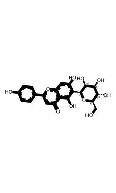 O=c1cc(-c2ccc(O)cc2)oc2cc(O)c([C@@H]3O[C@H](CO)[C@@H](O)[C@H](O)[C@@H]3O)c(O)c12